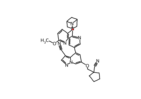 COc1ccc(CN2C3CC2CN(c2ccc(-c4cc(OCC5(C#N)CCCC5)cn5ncc(C#N)c45)cn2)C3)cn1